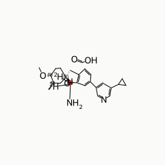 O=CO.[2H]C1([2H])OC(N)=N[C@]12c1cc(-c3cncc(C4CC4)c3)ccc1C[C@]21CC[C@@H](OC)[C@H](C)C1